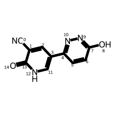 N#Cc1cc(-c2ccc(O)nn2)c[nH]c1=O